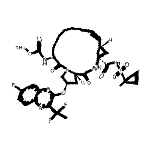 CC(C)(C)OC(=O)N[C@H]1CCCCC/C=C\[C@@H]2C[C@@]2(C(=O)NS(=O)(=O)C2(C)CC2)NC(=O)[C@@H]2C[C@@H](Oc3nc4cc(F)ccc4nc3C(C)(F)F)CN2C1=O